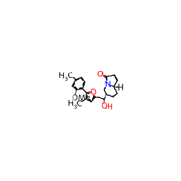 COc1cc(C)ccc1-c1oc(C(O)[C@@H]2CC[C@H]3CCC(=O)N3C2)cc1C